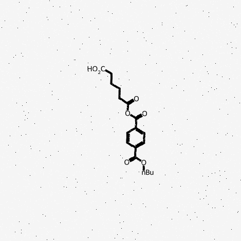 CCCCOC(=O)c1ccc(C(=O)OC(=O)CCCCC(=O)O)cc1